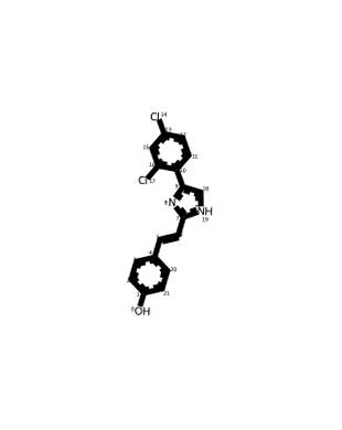 Oc1ccc(/C=C/c2nc(-c3ccc(Cl)cc3Cl)c[nH]2)cc1